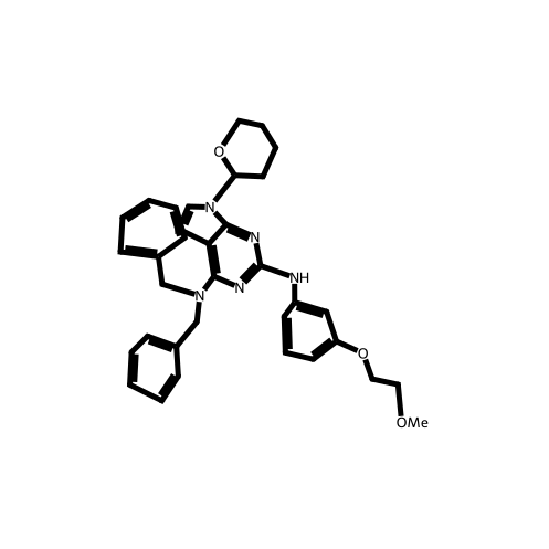 COCCOc1cccc(Nc2nc(N(Cc3ccccc3)Cc3ccccc3)c3ncn(C4CCCCO4)c3n2)c1